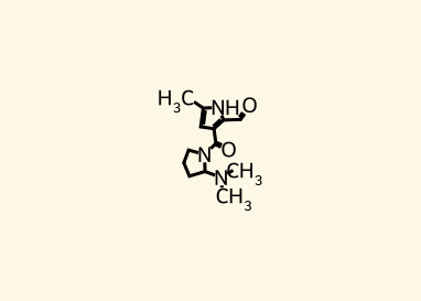 Cc1cc(C(=O)N2CCCC2N(C)C)c(C=O)[nH]1